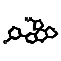 NC1=NC2(CS1)c1cc(-c3cncc(Cl)c3)ccc1OC1CCCCC12